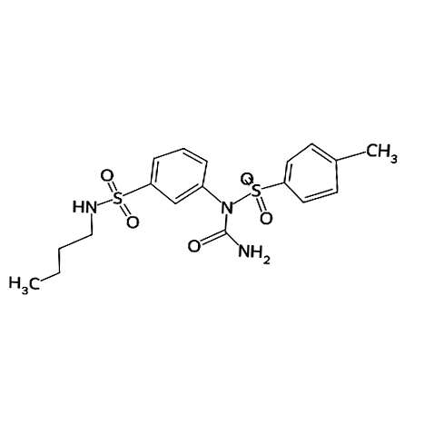 CCCCNS(=O)(=O)c1cccc(N(C(N)=O)S(=O)(=O)c2ccc(C)cc2)c1